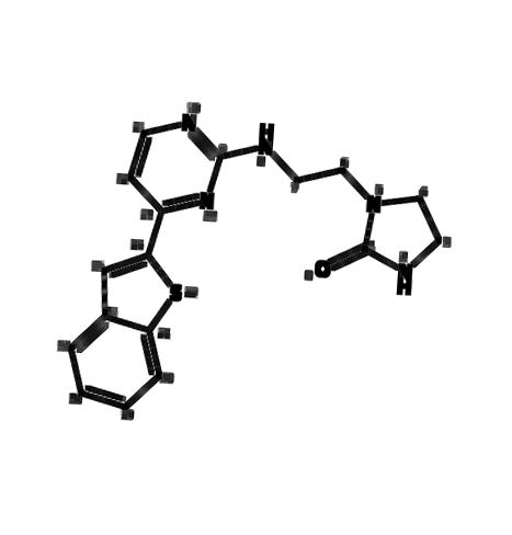 O=C1NCCN1CCNc1nccc(-c2cc3ccccc3s2)n1